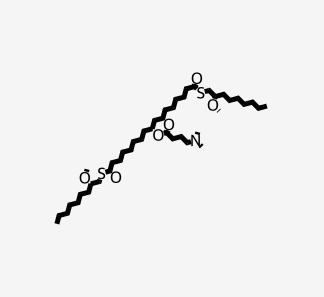 CCCCCCCC(CSC(=O)CCCCCCCC(CCCCCCCC(=O)SCC(CCCCCCC)OC)OC(=O)CCCN(C)C)OC